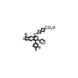 O=C(O)C1CC2(CC(Oc3nc(C4CCOCC4)c(-c4ccc(F)c(F)c4)c4cc5cn[nH]c5cc34)C2)C1